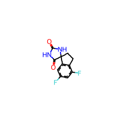 O=C1NC(=O)C2(CCc3c(F)cc(F)cc32)N1